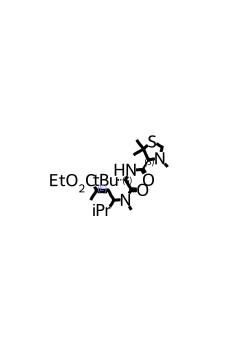 CCOC(=O)/C(C)=C/C(C(C)C)N(C)C(=O)[C@@H](NC(=O)[C@@H]1N(C)CSC1(C)C)C(C)(C)C